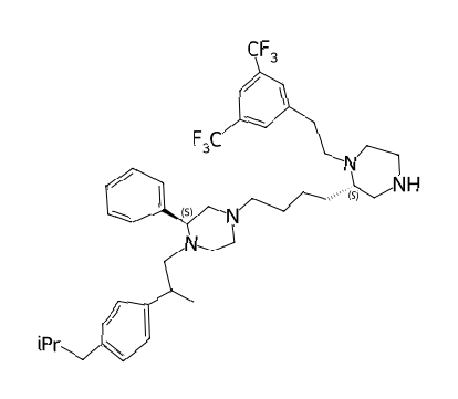 CC(C)Cc1ccc(C(C)CN2CCN(CCCC[C@H]3CNCCN3CCc3cc(C(F)(F)F)cc(C(F)(F)F)c3)C[C@@H]2c2ccccc2)cc1